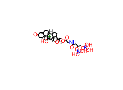 C[C@]12C[C@H](O)C3(F)[C@@H](CCC4=CC(=O)C=C[C@@]43C)C1CCC2C(=O)COC(=O)CNC(=O)CC(CON(O)O)ON(O)O